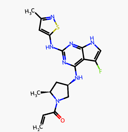 C=CC(=O)N1C[C@H](Nc2nc(Nc3cc(C)ns3)nc3[nH]cc(F)c23)C[C@@H]1C